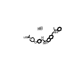 CC(=N)N1CCC(Oc2ccc(NC(=N)c3ccc4ccc(CNC(=S)c5ccccc5)cc4c3)cc2)CC1.Cl.Cl